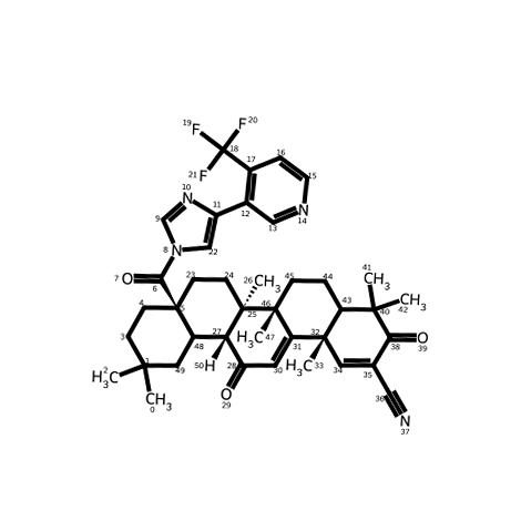 CC1(C)CC[C@]2(C(=O)n3cnc(-c4cnccc4C(F)(F)F)c3)CC[C@]3(C)[C@H](C(=O)C=C4[C@@]5(C)C=C(C#N)C(=O)C(C)(C)C5CC[C@]43C)C2C1